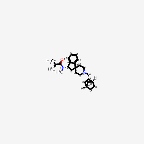 CC(C)C(=O)N(C)[C@H]1CC2(CCN(C[C@H]3C[C@H]4CC[C@@H]3C4)CC2)c2ccccc21